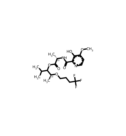 COc1ccnc(C(=O)N[C@@H](C)C(=O)OC(C(C)C)[C@H](C)OCCCC(F)(F)F)c1O